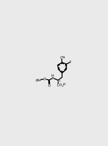 CC(C)(C)OC(=O)N[C@@H](Cc1ccc(C#N)c(F)c1)C(=O)O